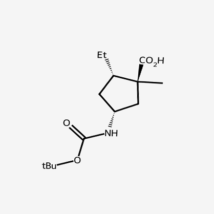 CC[C@H]1C[C@@H](NC(=O)OC(C)(C)C)C[C@]1(C)C(=O)O